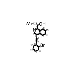 COC(O)c1ncc(C#Cc2ccccc2Br)c2ccccc12